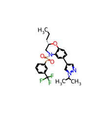 CCC[C@H]1CN(S(=O)(=O)c2cccc(C(F)(F)F)c2)c2cc(-c3cnn(C(C)C)c3)ccc2O1